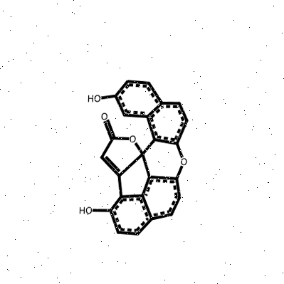 O=C1C=C2c3c(O)ccc4ccc5c(c34)C2(O1)c1c(ccc2ccc(O)cc12)O5